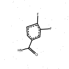 [NH]C(=O)c1ccc(F)c(F)c1